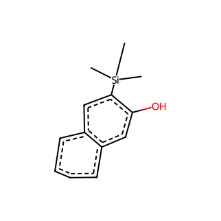 C[Si](C)(C)c1cc2ccccc2cc1O